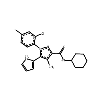 Cc1c(C(=O)NC2CCCCC2)nn(-c2ccc(Cl)cc2Cl)c1C1=CC=C[SeH2]1